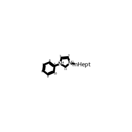 CCCCCCCN1C=CN(c2ccccc2)C1